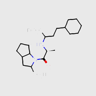 CCOC(=O)C(CCC1CCCCC1)N[C@@H](C)C(=O)N1C(C(=O)O)CC2CCCC21